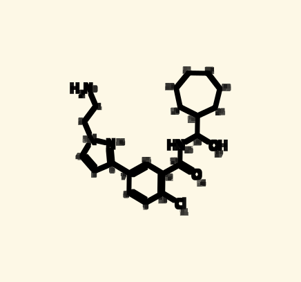 NCCn1ccc(-c2ccc(Cl)c(C(=O)NC(O)C3CCCCCC3)c2)n1